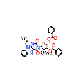 CO[C@@H]1[C@H](OC(=O)c2ccccc2)[C@@H](COC(=O)c2ccccc2)O[C@H]1n1c(=O)nc2n(CCC#N)c3ccccc3nc-2c1=O